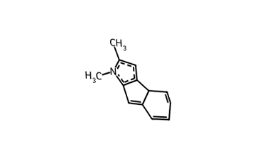 Cc1cc2c(n1C)C=C1C=CC=CC12